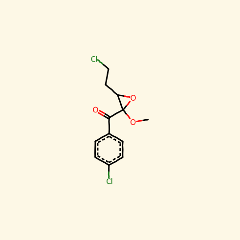 COC1(C(=O)c2ccc(Cl)cc2)OC1CCCl